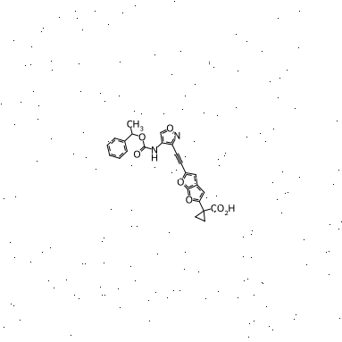 CC(OC(=O)Nc1conc1C#Cc1cc2cc(C3(C(=O)O)CC3)oc2o1)c1ccccc1